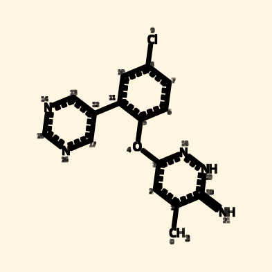 Cc1cc(Oc2ccc(Cl)cc2-c2cncnc2)n[nH]c1=N